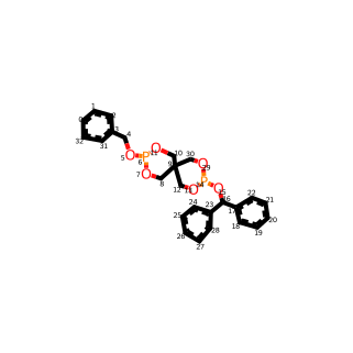 c1ccc(COP2OCC3(CO2)COP(OC(c2ccccc2)c2ccccc2)OC3)cc1